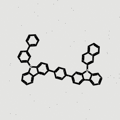 c1ccc(-c2cccc(-n3c4ccccc4c4cc(-c5ccc(-c6ccc7c8ccccc8n(-c8ccc9ccccc9c8)c7c6)cc5)ccc43)c2)cc1